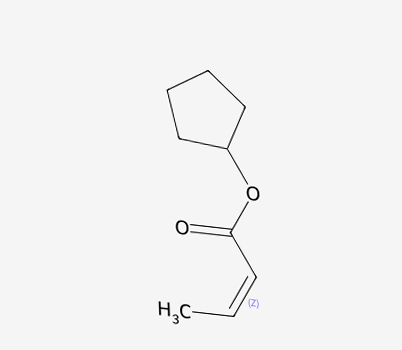 C/C=C\C(=O)OC1CCCC1